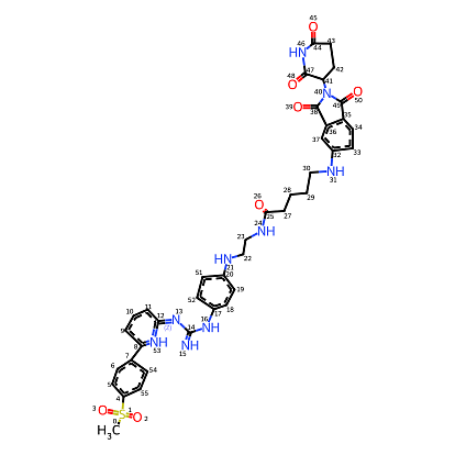 CS(=O)(=O)c1ccc(-c2ccc/c(=N/C(=N)Nc3ccc(NCCNC(=O)CCCCNc4ccc5c(c4)C(=O)N(C4CCC(=O)NC4=O)C5=O)cc3)[nH]2)cc1